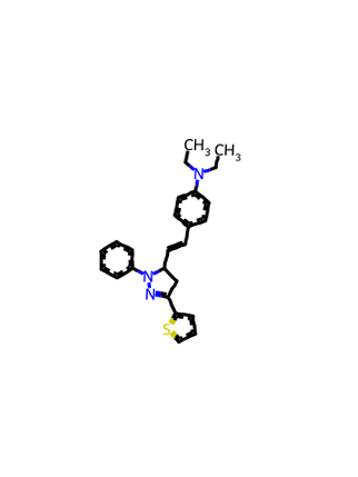 CCN(CC)c1ccc(C=CC2CC(c3cccs3)=NN2c2ccccc2)cc1